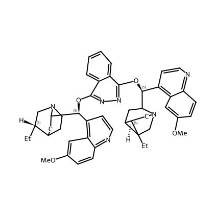 CC[C@@H]1CN2CCC1CC2[C@@H](Oc1nnc(O[C@@H](c2ccnc3ccc(OC)cc23)C2CC3CCN2C[C@H]3CC)c2ccccc12)c1ccnc2ccc(OC)cc12